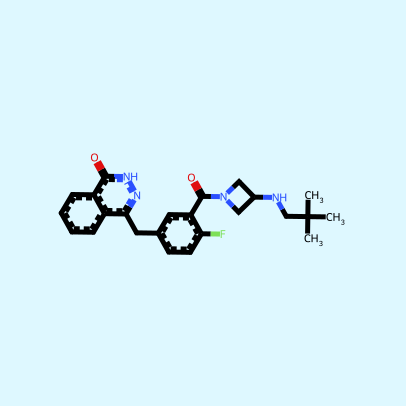 CC(C)(C)CNC1CN(C(=O)c2cc(Cc3n[nH]c(=O)c4ccccc34)ccc2F)C1